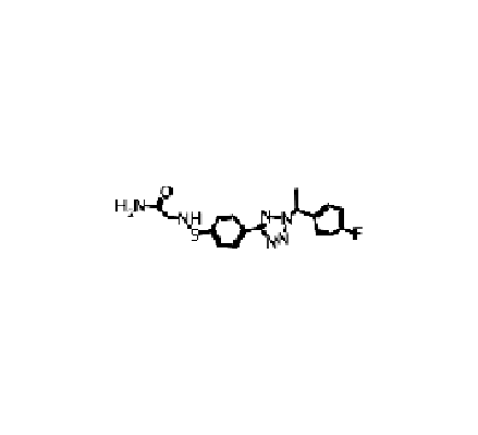 CC(c1ccc(F)cc1)n1nnc(-c2ccc(SNCC(N)=O)cc2)n1